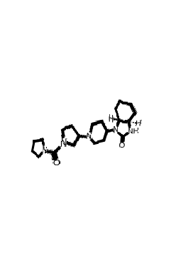 O=C(N1CCCC1)N1CCC(N2CCC(N3C(=O)N[C@@H]4CCCC[C@H]43)CC2)C1